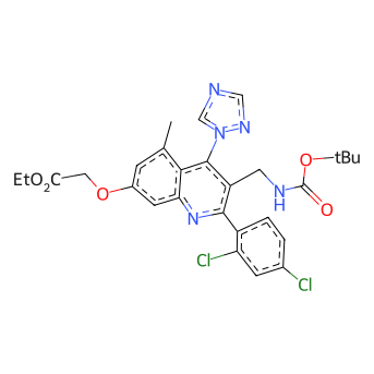 CCOC(=O)COc1cc(C)c2c(-n3cncn3)c(CNC(=O)OC(C)(C)C)c(-c3ccc(Cl)cc3Cl)nc2c1